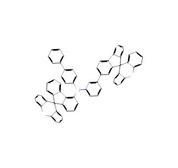 c1ccc(-c2ccc(N(c3cccc(-c4ccc5c(c4)C4(c6ccccc6Oc6ccccc64)c4ccccc4-5)c3)c3cccc4c3-c3ccccc3C43c4ccccc4Oc4ccccc43)cc2)cc1